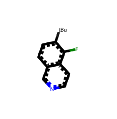 CC(C)(C)c1ccc2cnccc2c1F